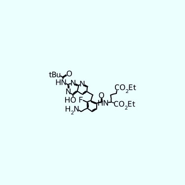 CCOC(=O)CC[C@H](NC(=O)c1ccc(CN)c(F)c1Cc1cnc2nc(NC(=O)C(C)(C)C)nc(O)c2c1)C(=O)OCC